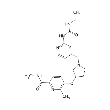 CCNC(=O)Nc1cc(CN2CCC(Oc3ccc(C(=O)NC)nc3C)C2)ccn1